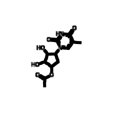 CC(=O)OC1CC(n2cc(C)c(=O)[nH]c2=O)C(O)C1O